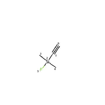 C#C[Si](C)(C)F